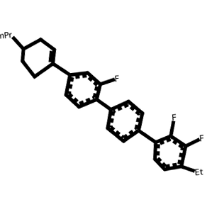 CCCC1CC=C(c2ccc(-c3ccc(-c4ccc(CC)c(F)c4F)cc3)c(F)c2)CC1